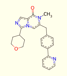 Cn1c(Cc2ccc(-c3ccccn3)cc2)cn2c(C3CCOCC3)ncc2c1=O